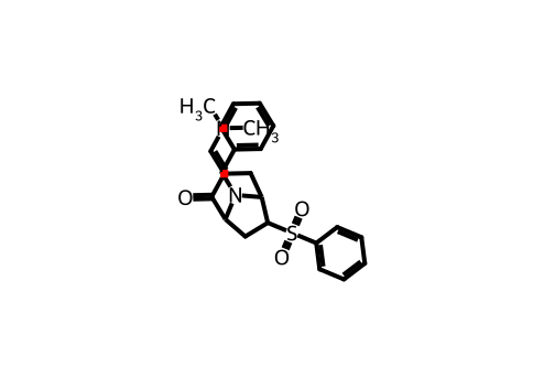 CN(C)C=C1CC2C(S(=O)(=O)c3ccccc3)CC(C1=O)N2Cc1ccccc1